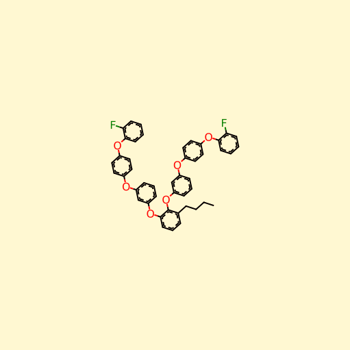 CCCCc1cccc(Oc2cccc(Oc3ccc(Oc4ccccc4F)cc3)c2)c1Oc1cccc(Oc2ccc(Oc3ccccc3F)cc2)c1